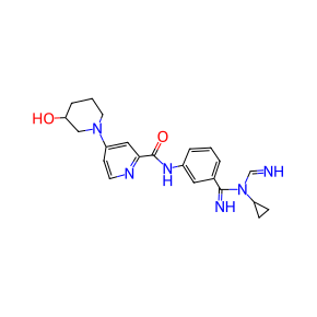 N=CN(C(=N)c1cccc(NC(=O)c2cc(N3CCCC(O)C3)ccn2)c1)C1CC1